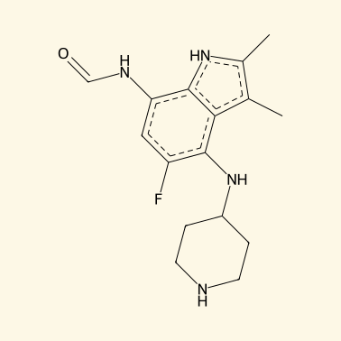 Cc1[nH]c2c(NC=O)cc(F)c(NC3CCNCC3)c2c1C